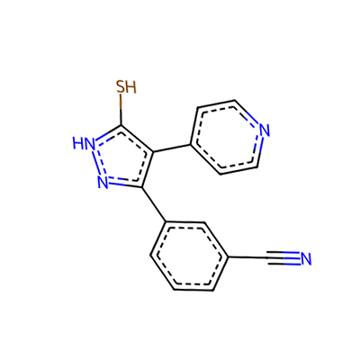 N#Cc1cccc(-c2n[nH]c(S)c2-c2ccncc2)c1